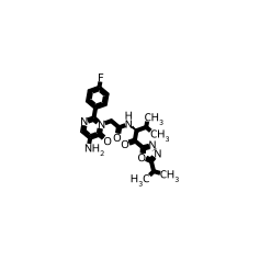 CC(C)c1nnc(C(=O)[C@@H](NC(=O)Cn2c(-c3ccc(F)cc3)ncc(N)c2=O)C(C)C)o1